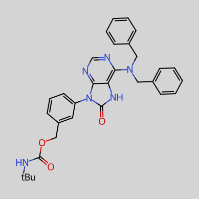 CC(C)(C)NC(=O)OCc1cccc(-n2c(=O)[nH]c3c(N(Cc4ccccc4)Cc4ccccc4)ncnc32)c1